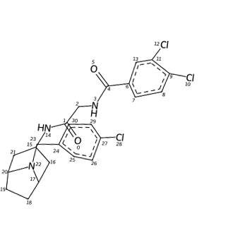 O=C(CNC(=O)c1ccc(Cl)c(Cl)c1)NC1CC2CCC(C1)N2Cc1ccc(Cl)cc1